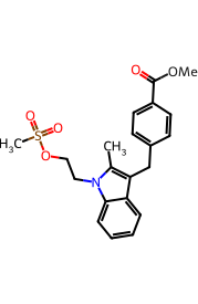 COC(=O)c1ccc(Cc2c(C)n(CCOS(C)(=O)=O)c3ccccc23)cc1